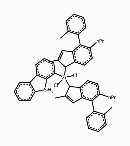 CCCc1ccc2c(c1-c1ccccc1C)C=C(C)[CH]2[Zr]([Cl])([Cl])([c]1cccc2c1[SiH2]c1ccccc1-2)[CH]1C(C)=Cc2c1ccc(CCC)c2-c1ccccc1C